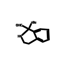 CCCCC1(C=O)NCCc2ccccc21